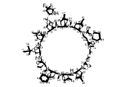 CC[C@H]1C(=O)N[C@@H](COC(C)(C)C)C(=O)N(C)[C@@H](CC(C)C)C(=O)N[C@@H](COC[C@@H]2CC(F)(F)CN2)C(=O)N(C)[C@@H](CC(C)C)C(=O)N(C)[C@@H](CC(C)C)C(=O)N[C@H](C(=O)N2CCCCC2)CC(=O)N(C)CCCC(=O)N(C)[C@@H](CC(C)C)C(=O)N[C@@H](C(C)C)C(=O)N(C)[C@@H](Cc2ccccc2)C(=O)N1C